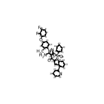 Cc1cc(Oc2cccc(F)c2F)ccc1-n1ncc(C(=O)c2cc3c(-c4ccccn4)cccc3n2S(=O)(=O)c2ccccc2)c1N